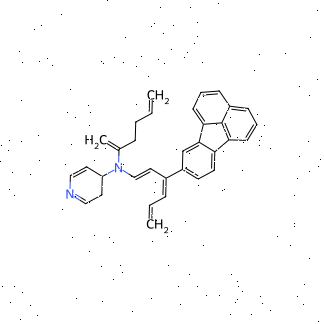 C=C/C=C(\C=C\N(C(=C)CCC=C)C1C=CN=CC1)c1ccc2c(c1)-c1cccc3cccc-2c13